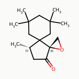 C[C@H]1CC(=O)[C@]2(CO2)C12CC(C)(C)CC(C)(C)C2